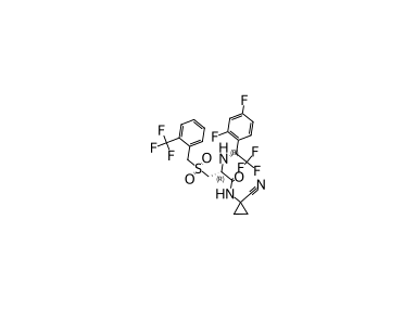 N#CC1(NC(=O)[C@H](CS(=O)(=O)Cc2ccccc2C(F)(F)F)N[C@H](c2ccc(F)cc2F)C(F)(F)F)CC1